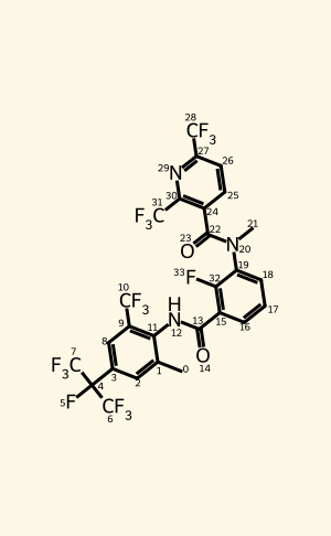 Cc1cc(C(F)(C(F)(F)F)C(F)(F)F)cc(C(F)(F)F)c1NC(=O)c1cccc(N(C)C(=O)c2ccc(C(F)(F)F)nc2C(F)(F)F)c1F